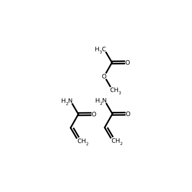 C=CC(N)=O.C=CC(N)=O.COC(C)=O